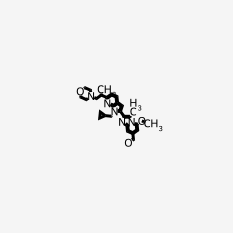 COc1cc(C=O)cc2nc(-c3cc4ccc(C(C)CN5CCOCC5)nc4n3CC3CC3)c(C)n12